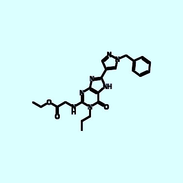 CCCn1c(NCC(=O)OCC)nc2nc(-c3cnn(Cc4ccccc4)c3)[nH]c2c1=O